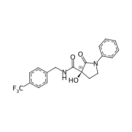 O=C(NCc1ccc(C(F)(F)F)cc1)[C@@]1(O)CCN(c2ccccc2)C1=O